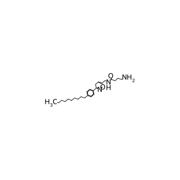 CCCCCCCCCCc1ccc(C2=NOC(CNC(=O)CCCN)=CC2)cc1